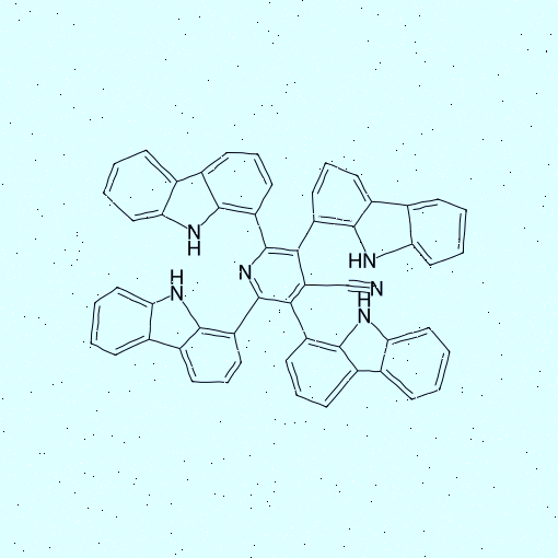 N#Cc1c(-c2cccc3c2[nH]c2ccccc23)c(-c2cccc3c2[nH]c2ccccc23)nc(-c2cccc3c2[nH]c2ccccc23)c1-c1cccc2c1[nH]c1ccccc12